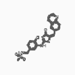 CS(=O)(=O)NCc1ccc(Cl)c(NC2=NC(=O)C(=Cc3ccc4ncccc4c3)S2)c1